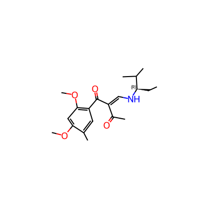 CC[C@@H](NC=C(C(C)=O)C(=O)c1cc(C)c(OC)cc1OC)C(C)C